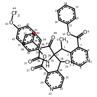 CC(c1ccncc1C(=O)Oc1ccccc1)C1(C(C)c2ccncc2C(=O)Oc2ccccc2)NC(=O)N(c2ccc(OC(F)(F)F)cc2)C1=O